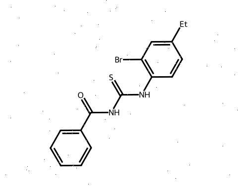 CCc1ccc(NC(=S)NC(=O)c2ccccc2)c(Br)c1